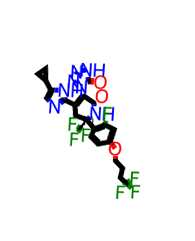 O=C1N[C@@](c2ccc(OCCCC(F)(F)F)cc2F)(C(F)(F)F)CC(c2ncc(C3CC3)[nH]2)=C1n1nn[nH]c1=O